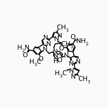 CCn1nc(C)cc1-c1ncc2c3cc(C(N)=O)cc(OC)c3n(CCNCCn3c4nc(-c5cc(C)nn5CC)ncc4c4cc(C(N)=O)cc(OCCCN5CCOCC5)c43)c2n1